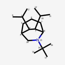 CC(C)C1C2CCCC(C1C(C)C)N(C(C)(C)C)C2